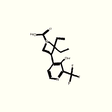 CCC1(CC)C(c2ccnc(C(F)(F)F)c2O)CN1C(=O)O